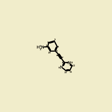 Nc1cccc(C#Cc2ncccn2)c1